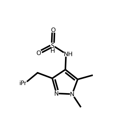 Cc1c(N[SH](=O)=O)c(CC(C)C)nn1C